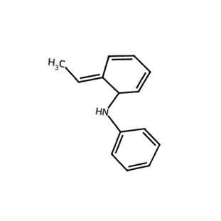 CC=C1C=CC=CC1Nc1ccccc1